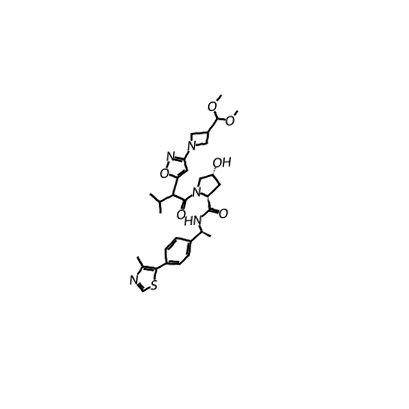 COC(OC)C1CN(c2cc(C(C(=O)N3C[C@H](O)C[C@H]3C(=O)N[C@@H](C)c3ccc(-c4scnc4C)cc3)C(C)C)on2)C1